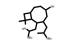 CCCCC(C)CC1CC(S)CCC2CC(C)(C)C2C1CC(CCC)CCCC